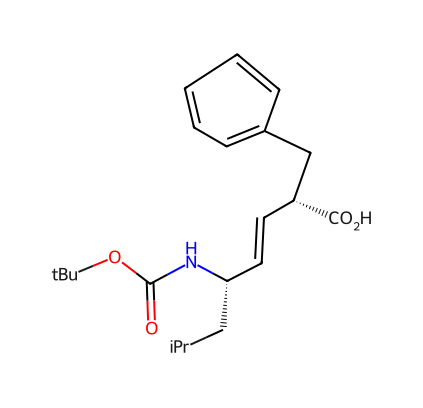 CC(C)C[C@@H](/C=C/[C@H](Cc1ccccc1)C(=O)O)NC(=O)OC(C)(C)C